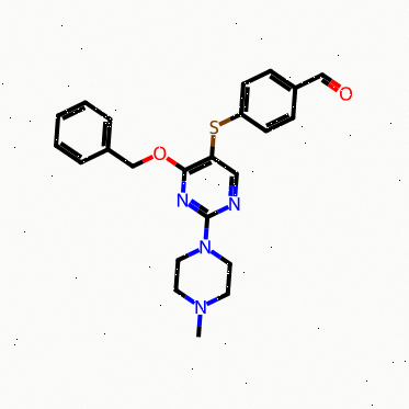 CN1CCN(c2ncc(Sc3ccc(C=O)cc3)c(OCc3ccccc3)n2)CC1